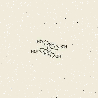 C#Cc1ccc(-c2c3[nH]c4ccc(O)cc4c3c(-c3ccc(C#C)cc3)c3[nH]c4ccc(O)cc4c23)cc1